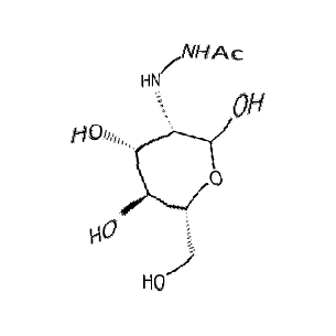 CC(=O)NN[C@@H]1C(O)O[C@H](CO)[C@@H](O)[C@@H]1O